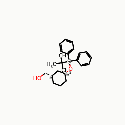 CC(C)(C)[Si](O[C@@H]1CCC[C@H](CO)C1)(c1ccccc1)c1ccccc1